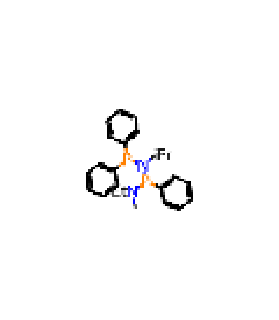 CCN(C)P(c1ccccc1)N(C(C)C)P(c1ccccc1)c1ccccc1